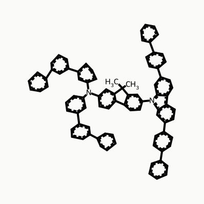 CC1(C)c2cc(N(c3cccc(-c4cccc(-c5ccccc5)c4)c3)c3cccc(-c4cccc(-c5ccccc5)c4)c3)ccc2-c2ccc(-n3c4cc(-c5ccc(-c6ccccc6)cc5)ccc4c4ccc(-c5ccc(-c6ccccc6)cc5)cc43)cc21